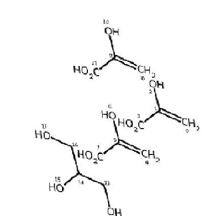 C=C(O)C(=O)O.C=C(O)C(=O)O.C=C(O)C(=O)O.OCC(O)CO